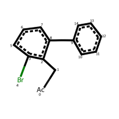 CC(=O)Cc1c(Br)cccc1-c1ccccc1